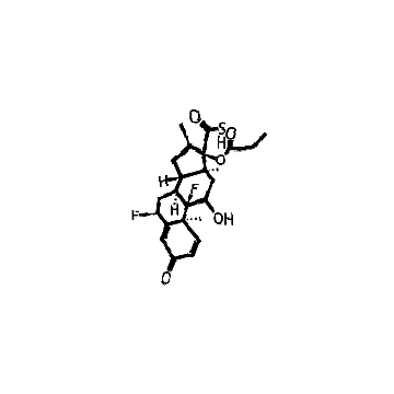 CCC(=O)O[C@]1(C(=O)S)[C@H](C)C[C@H]2[C@@H]3C[C@H](F)C4=CC(=O)C=C[C@]4(C)[C@@]3(F)C(O)C[C@@]21C